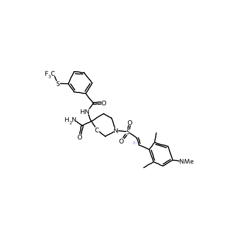 CNc1cc(C)c(/C=C/S(=O)(=O)N2CCC(NC(=O)c3cccc(SC(F)(F)F)c3)(C(N)=O)CC2)c(C)c1